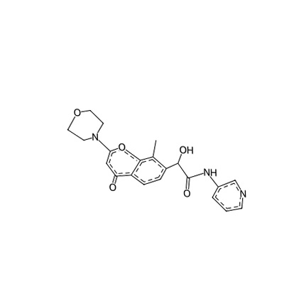 Cc1c(C(O)C(=O)Nc2cccnc2)ccc2c(=O)cc(N3CCOCC3)oc12